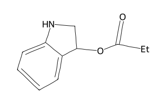 CCC(=O)OC1CNc2ccccc21